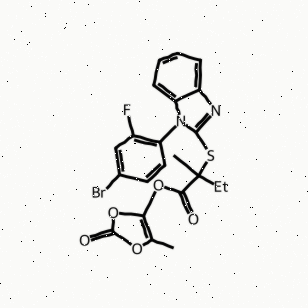 CCC(C)(Sc1nc2ccccc2n1-c1ccc(Br)cc1F)C(=O)Oc1oc(=O)oc1C